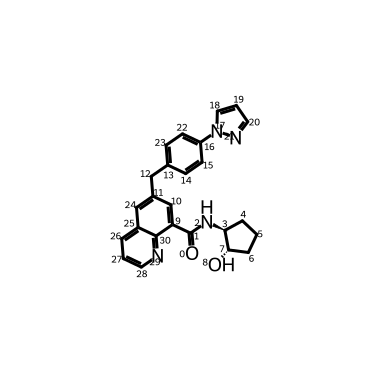 O=C(N[C@H]1CCC[C@@H]1O)c1cc(Cc2ccc(-n3cccn3)cc2)cc2cccnc12